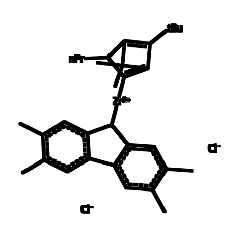 CCCC1[C]([Zr+2][CH]2c3cc(C)c(C)cc3-c3cc(C)c(C)cc32)=C2C(C(C)(C)C)=C1C2(C)C.[Cl-].[Cl-]